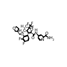 C[C@H]1[C@@H](c2ccc(F)c(F)c2OC[C@@H]2CCOC2)[C@H](C(=O)Nc2ccnc(C(N)=O)c2)O[C@@]1(C)C(F)(F)F